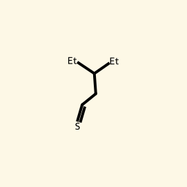 CCC(CC)CC=S